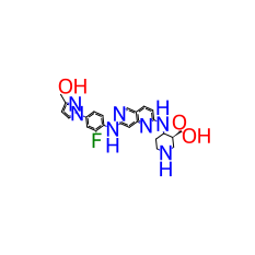 O=C(O)[C@H]1CNCC[C@H]1Nc1ccc2cnc(Nc3ccc(-n4ccc(CO)n4)cc3F)cc2n1